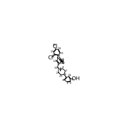 Oc1cccc(C2CCN(Cc3cn(-c4ccc(Cl)cc4Cl)nn3)CC2)c1